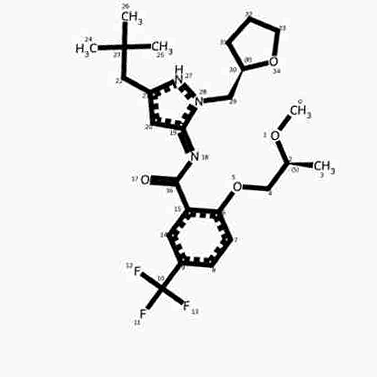 CO[C@@H](C)COc1ccc(C(F)(F)F)cc1C(=O)N=c1cc(CC(C)(C)C)[nH]n1C[C@H]1CCCO1